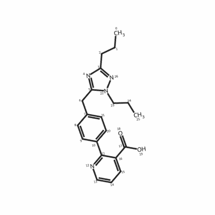 CCCc1nc(Cc2ccc(-c3ncccc3C(=O)O)cc2)n(CCC)n1